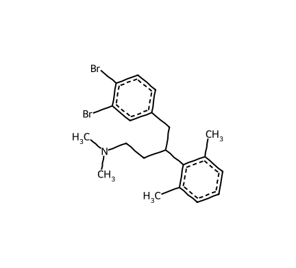 Cc1cccc(C)c1C(CCN(C)C)Cc1ccc(Br)c(Br)c1